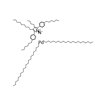 CCCCCCCCCC1=C(c2ccc(CCCCCC)cc2)[N+](=[N-])C(c2ccc(CCCCCC)cc2)=C1CCCC.CCCCCCCCCCCCCCCCCCCC[CH2][Pd][CH2]CCCCCCCCCCCCCCCCCCCC